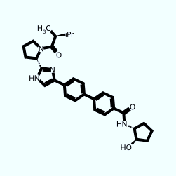 CC(C)[C@H](C)C(=O)N1CCC[C@H]1c1nc(-c2ccc(-c3ccc(C(=O)N[C@@H]4CCC[C@H]4O)cc3)cc2)c[nH]1